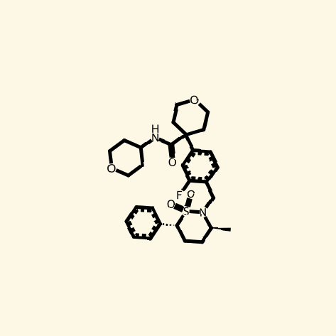 C[C@H]1CC[C@H](c2ccccc2)S(=O)(=O)N1Cc1ccc(C2(C(=O)NC3CCOCC3)CCOCC2)cc1F